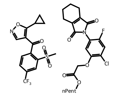 CCCCCOC(=O)COc1cc(N2C(=O)C3=C(CCCC3)C2=O)c(F)cc1Cl.CS(=O)(=O)c1cc(C(F)(F)F)ccc1C(=O)c1cnoc1C1CC1